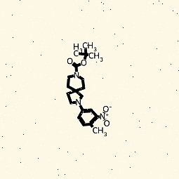 Cc1ccc(N2CCC3(CCN(C(=O)OC(C)(C)C)CC3)C2)cc1[N+](=O)[O-]